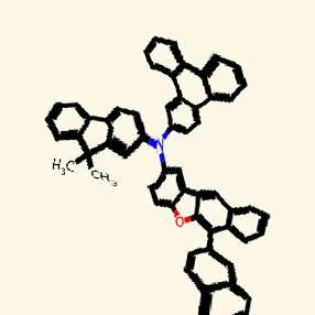 CC1(C)c2ccccc2-c2ccc(N(c3ccc4oc5c(-c6ccc7ccccc7c6)c6ccccc6cc5c4c3)c3ccc4c5ccccc5c5ccccc5c4c3)cc21